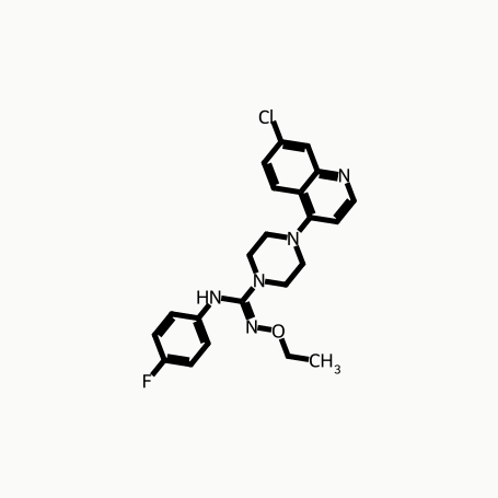 CCO/N=C(/Nc1ccc(F)cc1)N1CCN(c2ccnc3cc(Cl)ccc23)CC1